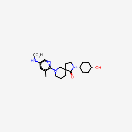 Cc1cc(NC(=O)O)cnc1N1CCC[C@]2(CCN([C@H]3CC[C@@H](O)CC3)C2=O)C1